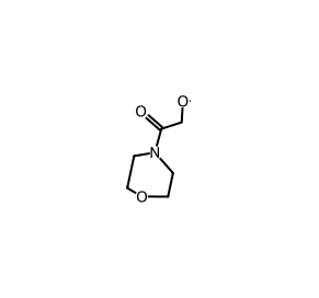 [O]CC(=O)N1CCOCC1